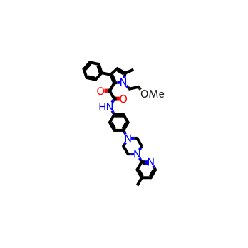 COCCn1c(C)cc(-c2ccccc2)c1C(=O)C(=O)Nc1ccc(N2CCN(c3cc(C)ccn3)CC2)cc1